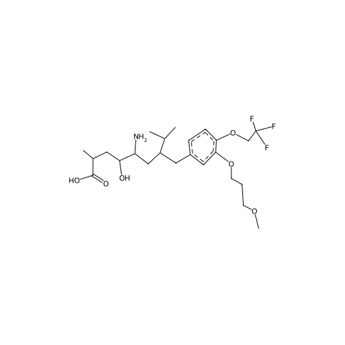 COCCCOc1cc(CC(CC(N)C(O)CC(C)C(=O)O)C(C)C)ccc1OCC(F)(F)F